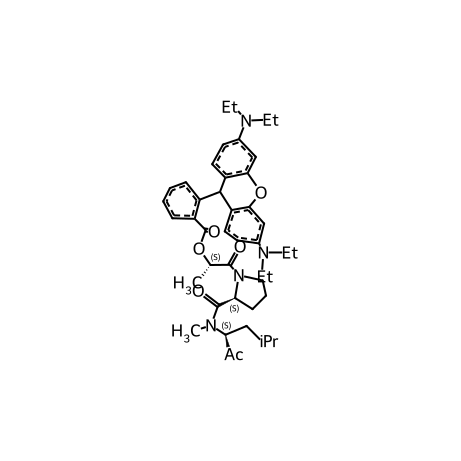 CCN(CC)c1ccc2c(c1)Oc1cc(N(CC)CC)ccc1C2c1ccccc1C(=O)O[C@@H](C)C(=O)N1CCC[C@H]1C(=O)N(C)[C@@H](CC(C)C)C(C)=O